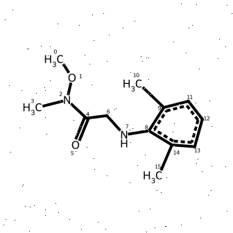 CON(C)C(=O)CNc1c(C)cccc1C